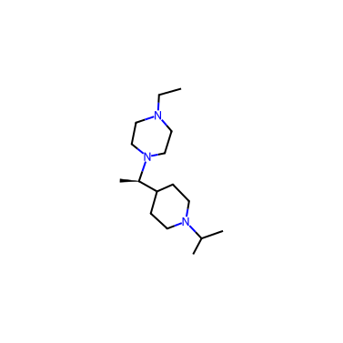 CCN1CCN([C@H](C)C2CCN(C(C)C)CC2)CC1